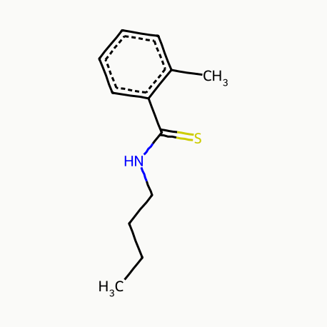 CCCCNC(=S)c1ccccc1C